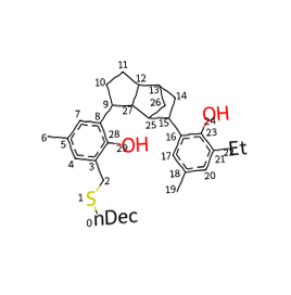 CCCCCCCCCCSCc1cc(C)cc(C2CCC3C4CC(c5cc(C)cc(CC)c5O)C(C4)C23)c1O